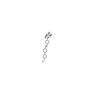 CCCC1CCC(C2CCC(/C=C/C3CCC(/C(F)=C/C(F)(F)F)CC3)CC2)CC1